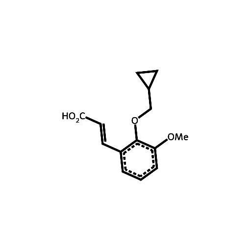 COc1cccc(C=CC(=O)O)c1OCC1CC1